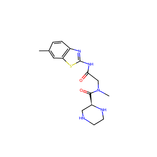 Cc1ccc2nc(NC(=O)CN(C)C(=O)[C@@H]3CNCCN3)sc2c1